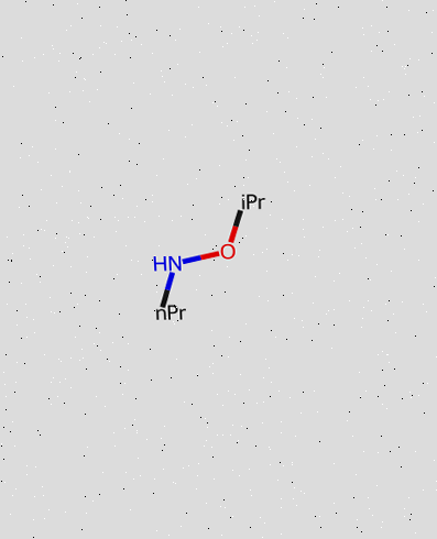 CCCNOC(C)C